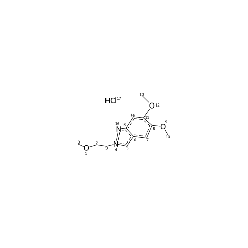 COCCn1cc2cc(OC)c(OC)cc2n1.Cl